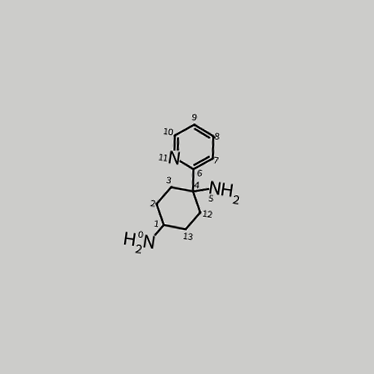 NC1CCC(N)(c2ccccn2)CC1